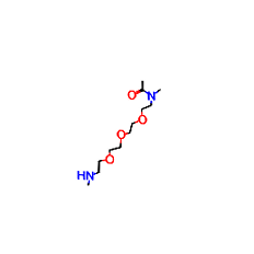 CNCCOCCOCCOCCN(C)C(C)=O